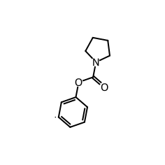 O=C(Oc1c[c]ccc1)N1CCCC1